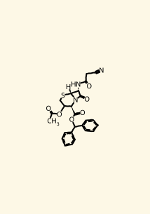 CC(=O)OC1CS[C@@H]2[C@H](NC(=O)CC#N)C(=O)N2[C@H]1C(=O)OC(c1ccccc1)c1ccccc1